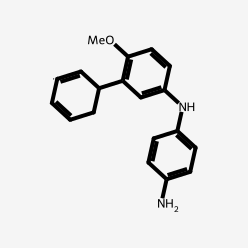 COc1ccc(Nc2ccc(N)cc2)cc1C1C=[C]C=CC1